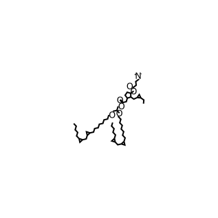 CCCCCC1CC1CC1CC1CCCCCCCCOCC(COC(=O)CC1CCC(OC(=O)CCCN(C)C)C1CC1CC1CC)OCCCCCCCCC1CC1CC1CC1CCCCC